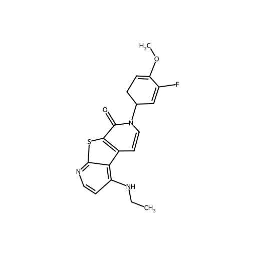 CCNc1ccnc2sc3c(=O)n(C4C=C(F)C(OC)=CC4)ccc3c12